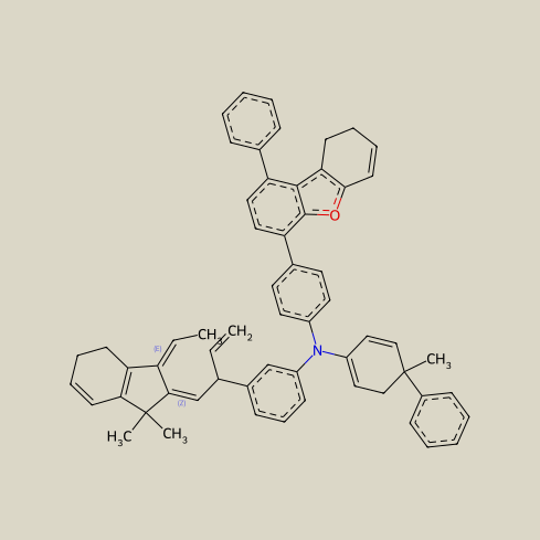 C=CC(/C=C1\C(=C/C)C2=C(C=CCC2)C1(C)C)c1cccc(N(C2=CCC(C)(c3ccccc3)C=C2)c2ccc(-c3ccc(-c4ccccc4)c4c5c(oc34)C=CCC5)cc2)c1